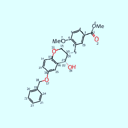 COC(=O)c1ccc(OC)c(C[C@H]2COc3ccc(OCc4ccccc4)cc3[C@H]2O)c1